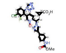 COC(=O)Nc1ccc(-c2cnn(C(C[C@@H]3C[C@@H]3C(=O)O)c3ccc(-c4c(-n5cnnn5)ccc(Cl)c4F)c[n+]3[O-])c2)cc1